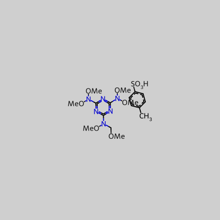 COCN(OC)c1nc(N(OC)OC)nc(N(OC)OC)n1.Cc1ccc(S(=O)(=O)O)cc1